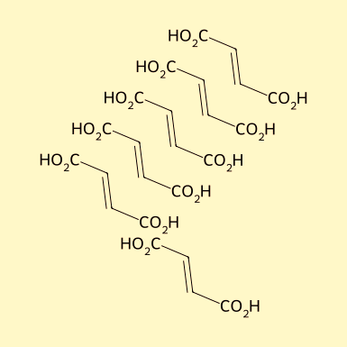 O=C(O)/C=C/C(=O)O.O=C(O)/C=C/C(=O)O.O=C(O)/C=C/C(=O)O.O=C(O)/C=C/C(=O)O.O=C(O)/C=C/C(=O)O.O=C(O)/C=C/C(=O)O